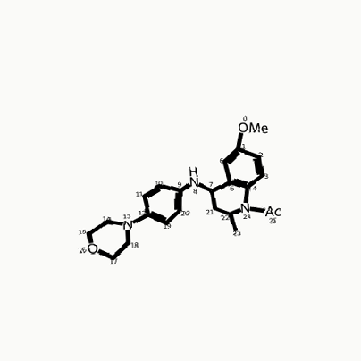 COc1ccc2c(c1)C(Nc1ccc(N3CCOCC3)cc1)CC(C)N2C(C)=O